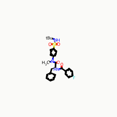 CN(C(=O)[C@H](Cc1ccccc1)NC(=O)c1ccc(F)cc1)c1ccc(S(=O)(=O)NC(C)(C)C)cc1